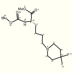 COC(=O)[C@H](CCCCN1CCC(F)(F)CC1)NC(=O)OC(C)(C)C